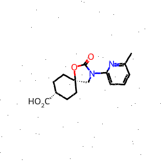 Cc1cccc(N2C[C@]3(CC[C@@H](C(=O)O)CC3)OC2=O)n1